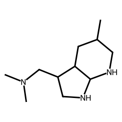 CC1CNC2NCC(CN(C)C)C2C1